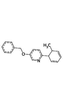 CC1C=CC=CC1c1ccc(OCc2ccccc2)cn1